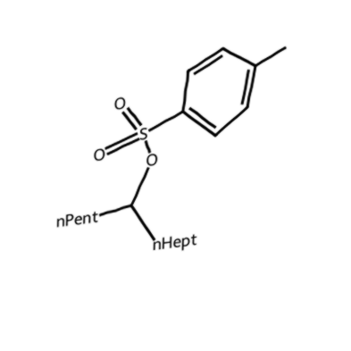 CCCCCCCC(CCCCC)OS(=O)(=O)c1ccc(C)cc1